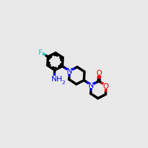 Nc1cc(F)ccc1N1CCC(N2CCCOC2=O)CC1